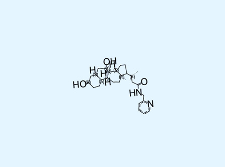 C[C@H](CC(=O)NCc1ccccn1)C1CC[C@H]2[C@@H]3[C@H](O)C[C@@H]4C[C@H](O)CC[C@]4(C)[C@H]3CC[C@]12C